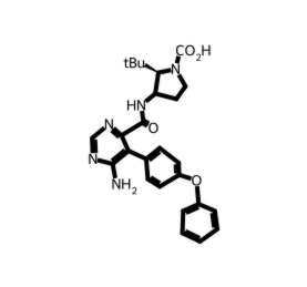 CC(C)(C)[C@@H]1C(NC(=O)c2ncnc(N)c2-c2ccc(Oc3ccccc3)cc2)CCN1C(=O)O